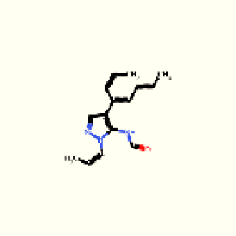 CC=C/C=C(\C=C/C)c1cnn(/C=C\C)c1NC=O